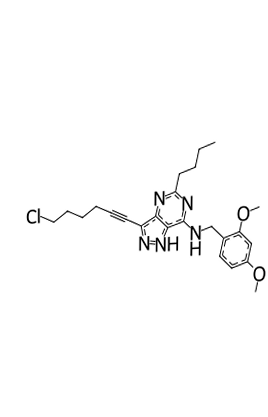 CCCCc1nc(NCc2ccc(OC)cc2OC)c2[nH]nc(C#CCCCCCl)c2n1